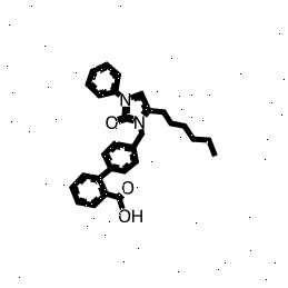 CCCCCCc1cn(-c2ccccc2)c(=O)n1Cc1ccc(-c2ccccc2C(=O)O)cc1